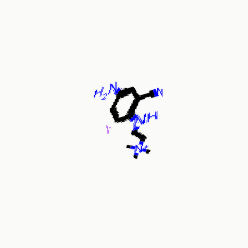 C[N+](C)(C)CCNc1ccc(N)cc1C#N.[I-]